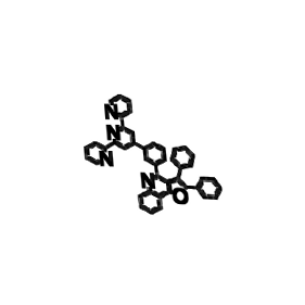 c1ccc(-c2oc3c(c(-c4cccc(-c5cc(-c6ccccn6)nc(-c6ccccn6)c5)c4)nc4ccccc43)c2-c2ccccc2)cc1